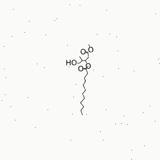 CCCCCCCCCCCC(=O)OC(CC(=O)OC)C(C)CO